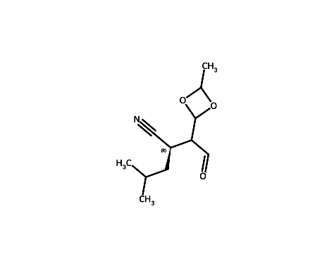 CC(C)C[C@@H](C#N)C(C=O)C1OC(C)O1